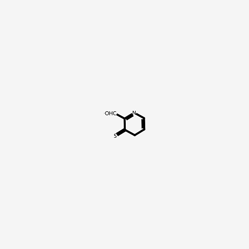 O=[C]C1=NC=CCC1=S